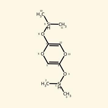 C[SiH](C)OC1=COC(O[SiH](C)C)=CO1